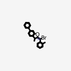 Cc1ccccc1/C(Br)=C1/Oc2cc(-c3ccccc3)ccc2C1C